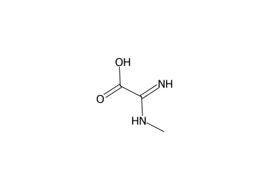 CNC(=N)C(=O)O